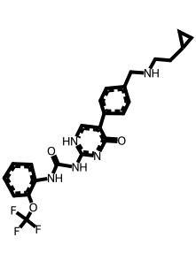 O=C(Nc1nc(=O)c(-c2ccc(CNCCC3CC3)cc2)c[nH]1)Nc1ccccc1OC(F)(F)F